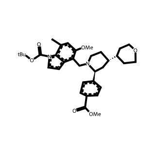 COC(=O)c1ccc([C@@H]2C[C@@H](C3CCOCC3)CCN2Cc2c(OC)cc(C)c3c2ccn3C(=O)OC(C)(C)C)cc1